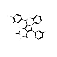 Cc1cccc(-c2c3c(=O)n(C)c(=O)n(C)c3c3n2-c2ccccc2NC3c2ccc(O)c(O)c2)c1